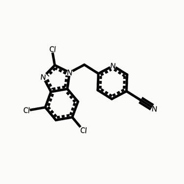 N#Cc1ccc(Cn2c(Cl)nc3c(Cl)cc(Cl)cc32)nc1